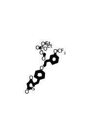 CCOP(=O)(OCC)OCOC(COc1ccc(CC2SC(=O)CC2=O)cc1)c1cccc(OC(F)(F)F)c1